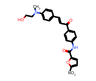 CN(CCO)c1ccc(/C=C/C(=O)c2ccc(NC(=O)c3ccc([N+](=O)[O-])o3)cc2)cc1